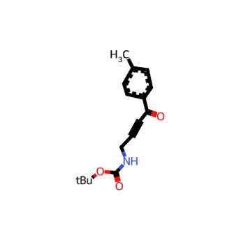 Cc1ccc(C(=O)C#CCNC(=O)OC(C)(C)C)cc1